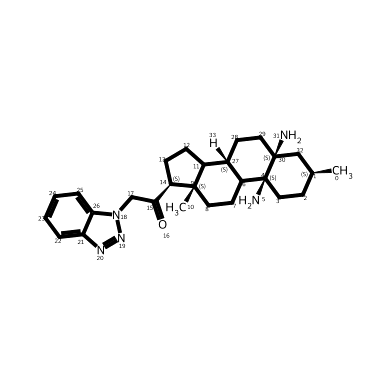 C[C@H]1CC[C@]2(N)C3CC[C@@]4(C)C(CC[C@@H]4C(=O)Cn4nnc5ccccc54)[C@@H]3CC[C@]2(N)C1